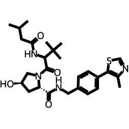 Cc1ncsc1-c1ccc(CNC(=O)[C@@H]2C[C@@H](O)CN2C(=O)C(NC(=O)CC(C)C)C(C)(C)C)cc1